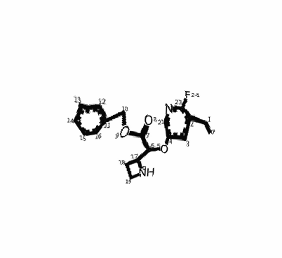 CCc1cc(OC(C(=O)OCc2ccccc2)C2CCN2)cnc1F